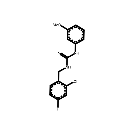 COc1cccc(NC(=S)NCc2ccc(F)cc2Cl)c1